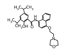 CC(C)c1cc(C(=O)Nc2ccc(OCCN3CCOCC3)c3ccccc23)c(O)c(C(C)C)c1